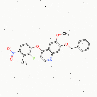 COc1cc2c(Oc3ccc([N+](=O)[O-])c(C)c3F)ccnc2cc1OCc1ccccc1